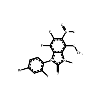 COc1c([N+](=O)[O-])c(F)c(F)c2c1n(I)c(=O)n2-c1ccc(Br)cc1F